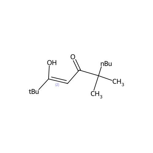 CCCCC(C)(C)C(=O)/C=C(\O)C(C)(C)C